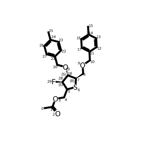 CC(=O)OCC1S[C@H](COCc2ccc(C)cc2)[C@@H](OCc2ccc(C)cc2)[C@@H]1F